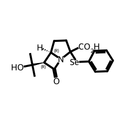 CC(C)(O)[C@@H]1C(=O)N2[C@@H]1CCC2([Se]c1ccccc1)C(=O)O